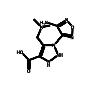 CN(C)CC1=C(C(=O)O)NNN1c1nonc1N